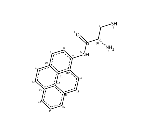 N[C@@H](CS)C(=O)Nc1ccc2ccc3cccc4ccc1c2c34